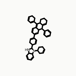 C1=CCCC(C2=C3C=CC(C4=CCC(C5NC6C=CC=CC6N5C5CC=CCC5)C=C4)=CC3C(c3ccccc3)C3=CCCCC32)=C1